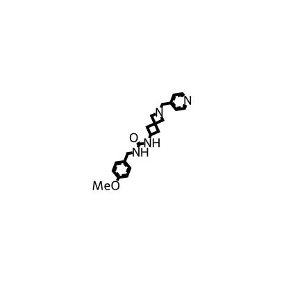 COc1ccc(CNC(=O)NC2CC3(C2)CN(Cc2ccncc2)C3)cc1